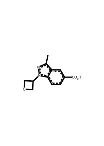 Cc1nn(C2COC2)c2ccc(C(=O)O)cc12